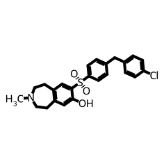 CN1CCc2cc(O)c(S(=O)(=O)c3ccc(Cc4ccc(Cl)cc4)cc3)cc2CC1